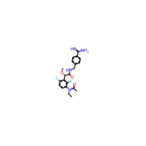 CCN(C(C)=O)c1ccc(F)c(C(OC)C(=O)NCc2ccc(C(=N)N)cc2)c1F